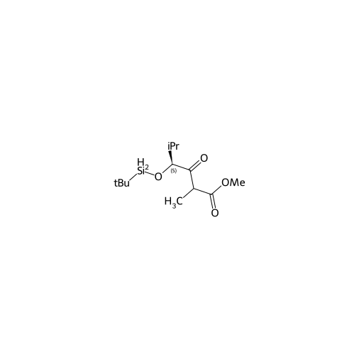 COC(=O)C(C)C(=O)[C@@H](O[SiH2]C(C)(C)C)C(C)C